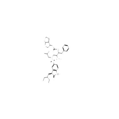 CCC(/C=C1\C(=O)Nc2ccc(S(=O)(=O)N(CC(C)C)CC(O)C(Cc3ccccc3)NC(=O)OC3COC4OCCC34)cc21)CC